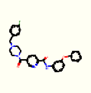 O=C(Nc1cccc(Oc2ccccc2)c1)c1ccc(C(=O)N2CCN(Cc3ccc(F)cc3)CC2)cn1